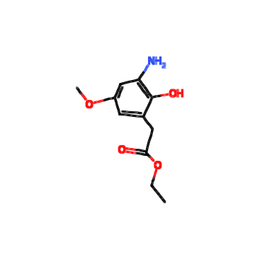 CCOC(=O)Cc1cc(OC)cc(N)c1O